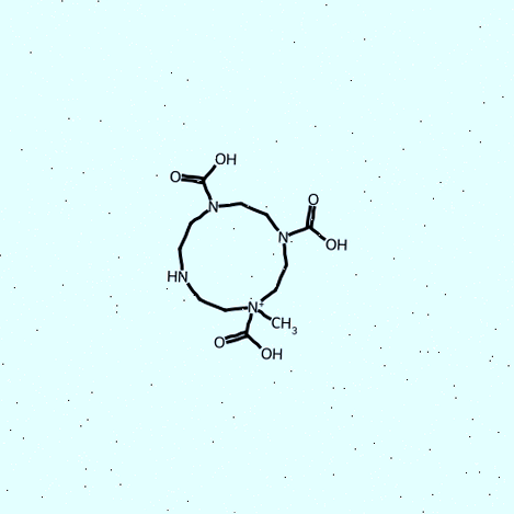 C[N+]1(C(=O)O)CCNCCN(C(=O)O)CCN(C(=O)O)CC1